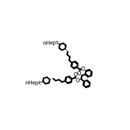 CCCCCCC[C@H]1CC[C@H](CCCCc2ccc(C(=O)O[C@H](c3ccccc3)[C@H](OC(=O)c3ccc(CCCC[C@H]4CC[C@H](CCCCCCC)CC4)cc3)c3ccccc3)cc2)CC1